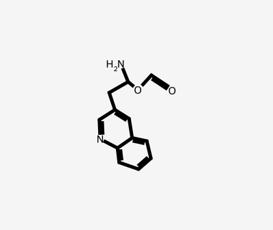 NC(Cc1cnc2ccccc2c1)OC=O